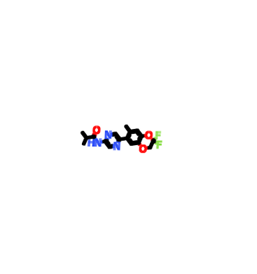 Cc1cc2c(cc1-c1cnc(NC(=O)C(C)C)cn1)OCC(F)(F)O2